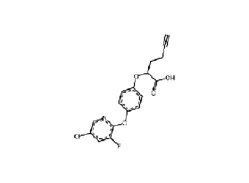 C#CCCC(Oc1ccc(Oc2ncc(Cl)cc2F)cc1)C(=O)O